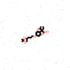 CCC(C(C)=O)(C(=O)O)c1ccc(OCCCC2COC(C)(C)O2)cc1